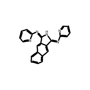 c1ccc(/N=C2\N/C(=N/c3ccccn3)c3cc4ccccc4cc32)nc1